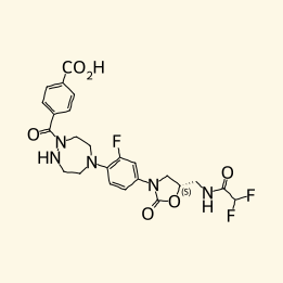 O=C(O)c1ccc(C(=O)N2CCN(c3ccc(N4C[C@H](CNC(=O)C(F)F)OC4=O)cc3F)CCN2)cc1